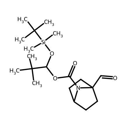 CC(C)(C)C(OC(=O)N1C2CCC1(C=O)CC2)O[Si](C)(C)C(C)(C)C